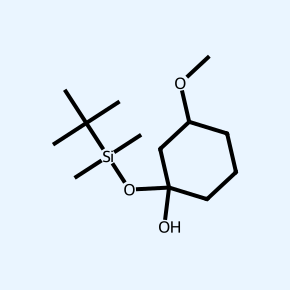 COC1CCCC(O)(O[Si](C)(C)C(C)(C)C)C1